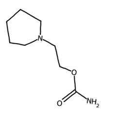 NC(=O)OCCN1CCCCC1